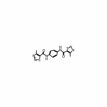 Cc1nnsc1C(=O)Nc1ccc(NC(=O)c2snnc2C)cc1